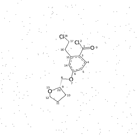 O=C(Cl)c1ccc(OC[C@@H]2CCCO2)cc1CCCl